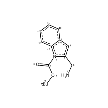 CC(C)(C)OC(=O)n1c(CN)cc2ccccc21